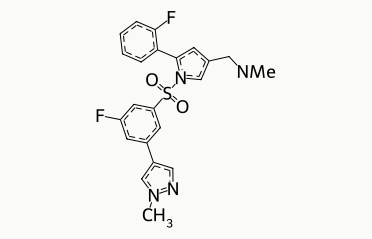 CNCc1cc(-c2ccccc2F)n(S(=O)(=O)c2cc(F)cc(-c3cnn(C)c3)c2)c1